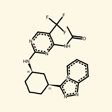 CC(=O)Nc1nc(N[C@@H]2CCC[C@H](c3nnc4ccccn34)C2)ncc1C(F)(F)F